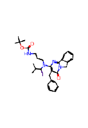 CC(C)C(I)N(CCCNC(=O)OC(C)(C)C)c1nc2n(c(=O)c1Cc1ccccc1)Cc1ccccc1-2